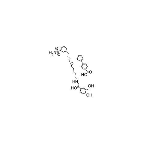 NS(=O)(=O)c1cccc(CCCCOCCCCCCNC[C@H](O)c2ccc(O)c(CO)c2)c1.O=C(O)c1ccc(-c2ccccc2)cc1